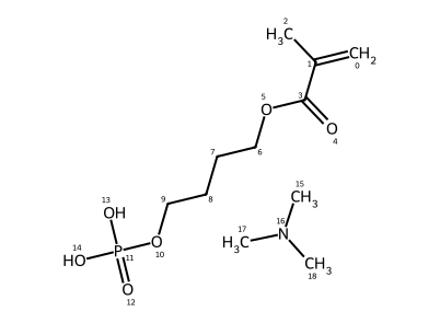 C=C(C)C(=O)OCCCCOP(=O)(O)O.CN(C)C